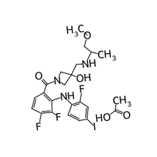 CC(=O)O.COCC(C)NCC1(O)CN(C(=O)c2ccc(F)c(F)c2Nc2ccc(I)cc2F)C1